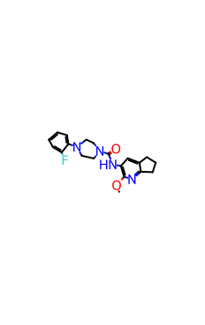 COc1nc2c(cc1NC(=O)N1CCN(c3ccccc3F)CC1)CCC2